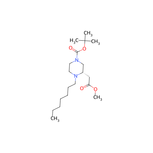 CCCCCCCN1CCN(C(=O)OC(C)(C)C)C[C@@H]1CC(=O)OC